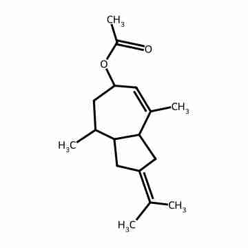 CC(=O)OC1C=C(C)C2CC(=C(C)C)CC2C(C)C1